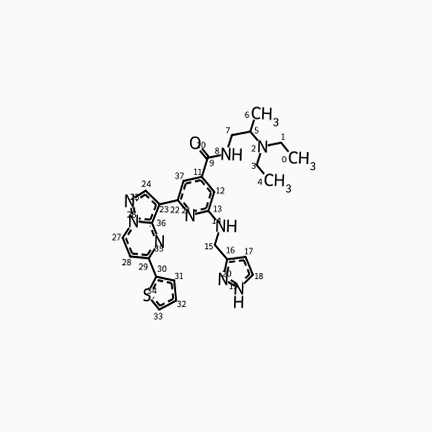 CCN(CC)C(C)CNC(=O)c1cc(NCc2cc[nH]n2)nc(-c2cnn3ccc(-c4cccs4)nc23)c1